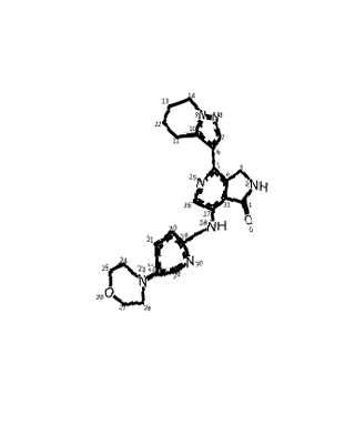 O=C1NCc2c(-c3cnn4c3CCCC4)ncc(Nc3ccc(N4CCOCC4)cn3)c21